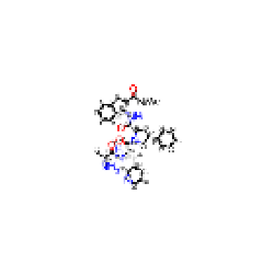 CNC(=O)[C@@H]1Cc2ccccc2[C@@H]1NC(=O)[C@@H]1C[C@H](c2ccccc2)CN1C(=O)[C@H](Cc1cccnc1)NC(=O)[C@H](C)N